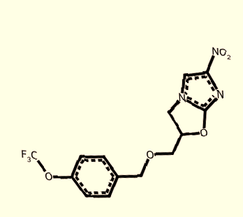 O=[N+]([O-])c1cn2c(n1)OC(COCc1ccc(OC(F)(F)F)cc1)C2